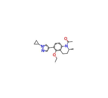 CCOc1c(-c2cnn(C3CC3)c2)ccc2c1CC[C@H](C)N2C(C)=O